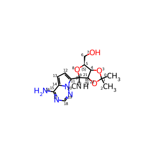 CC1(C)OC2[C@H](CO)O[C@@](C#N)(c3ccc4c(N)ncnn34)[C@@H]2O1